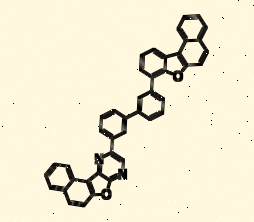 c1cc(-c2cccc(-c3cccc4c3oc3ccc5ccccc5c34)c2)cc(-c2cnc3oc4ccc5ccccc5c4c3n2)c1